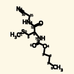 CCCCOC(=O)NC(CSC)C(=O)NCC#N